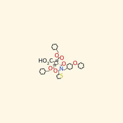 O=C(OCc1ccccc1)[C@@H]1[C@H](C(=O)O)[C@@H](C(=O)OCc2ccccc2)[C@H]1C(=O)N(Cc1ccc(Oc2ccccc2)cc1)Cc1cccs1